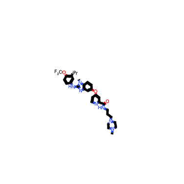 CC(C)c1cc(Nc2nc3cc(Oc4ccnc(C(=O)NCCCN5CCN(C)CC5)c4)ccc3n2C)ccc1OC(F)(F)F